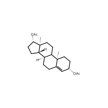 CC(=O)O[C@@H]1C=C2CC[C@@H]3C(CC[C@]4(C)[C@@H](OC(C)=O)CC[C@@H]34)[C@@]2(C)CC1